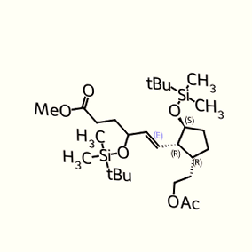 COC(=O)CCC(/C=C/[C@H]1[C@@H](CCOC(C)=O)CC[C@@H]1O[Si](C)(C)C(C)(C)C)O[Si](C)(C)C(C)(C)C